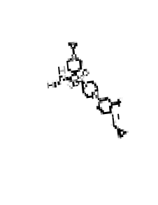 O=C(NO)C1(S(=O)(=O)N2CCN(c3ccc(OCC4CC4)c(F)c3)CC2)CCN(C2CC2)CC1